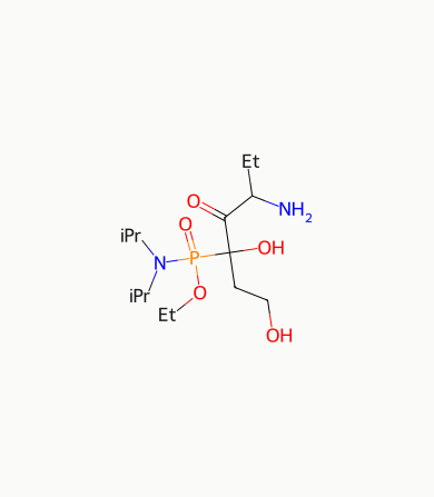 CCOP(=O)(N(C(C)C)C(C)C)C(O)(CCO)C(=O)C(N)CC